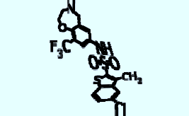 Cc1c(S(=O)(=O)Nc2cc3c(c(C(F)(F)F)c2)OCCNC3)sc2ccc(Cl)cc12